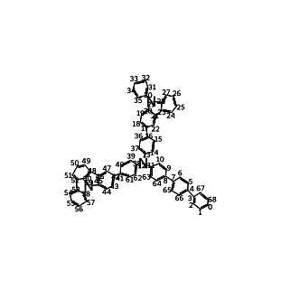 c1ccc(-c2ccc(-c3ccc(N(c4ccc(-c5ccc6c(c5)c5ccccc5n6-c5ccccc5)cc4)c4ccc(-c5ccc6c(c5)c5cccc7c8ccccc8n6c75)cc4)cc3)cc2)cc1